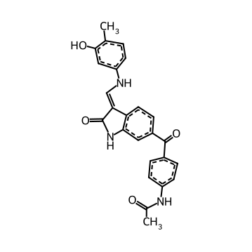 CC(=O)Nc1ccc(C(=O)c2ccc3c(c2)NC(=O)/C3=C/Nc2ccc(C)c(O)c2)cc1